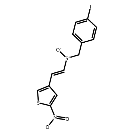 O=[N+]([O-])c1cc(C=C[S+]([O-])Cc2ccc(I)cc2)cs1